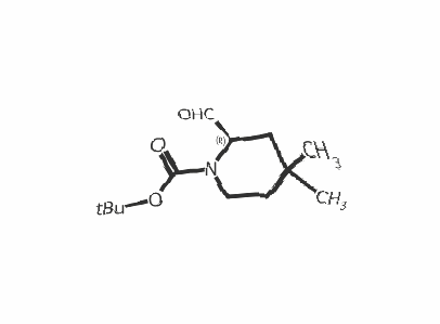 CC1(C)CCN(C(=O)OC(C)(C)C)[C@@H](C=O)C1